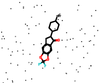 CCCC1CCC(C2Cc3cc4c(cc3C2=O)OC(F)(F)O4)CC1